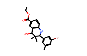 CCOC(=O)c1ccc2c(c1)C(O)C(C)(C)C(c1cc(C)cc(Br)c1)N2